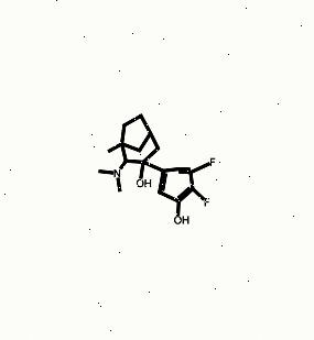 CN(C)C1C2(C)CCC(C2)CC1(O)c1cc(O)c(F)c(F)c1